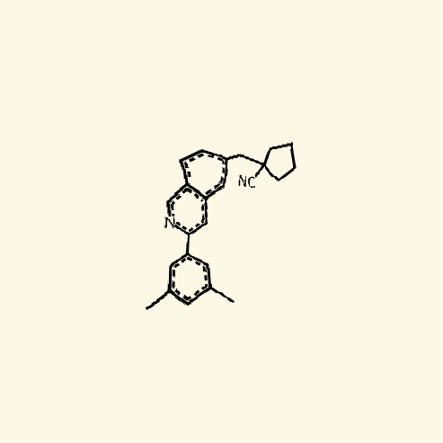 Cc1cc(C)cc(-c2cc3cc(CC4(C#N)CCCC4)ccc3cn2)c1